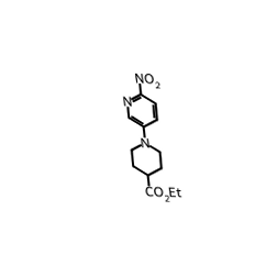 CCOC(=O)C1CCN(c2ccc([N+](=O)[O-])nc2)CC1